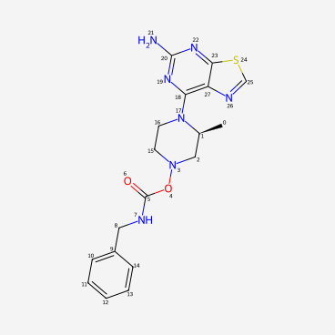 C[C@H]1CN(OC(=O)NCc2ccccc2)CCN1c1nc(N)nc2scnc12